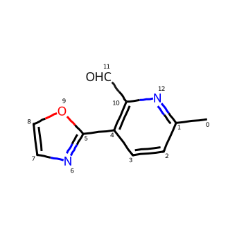 Cc1ccc(-c2ncco2)c(C=O)n1